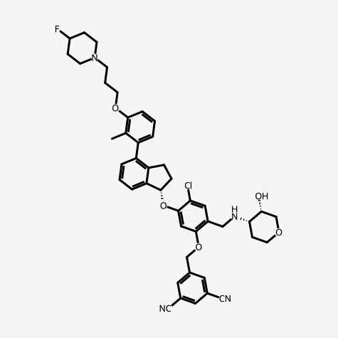 Cc1c(OCCCN2CCC(F)CC2)cccc1-c1cccc2c1CC[C@@H]2Oc1cc(OCc2cc(C#N)cc(C#N)c2)c(CN[C@H]2CCOC[C@H]2O)cc1Cl